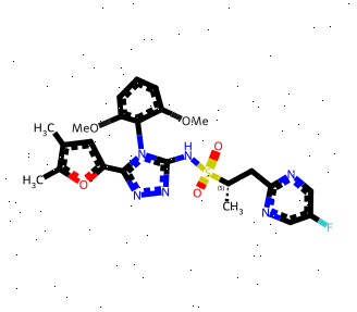 COc1cccc(OC)c1-n1c(NS(=O)(=O)[C@@H](C)Cc2ncc(F)cn2)nnc1-c1cc(C)c(C)o1